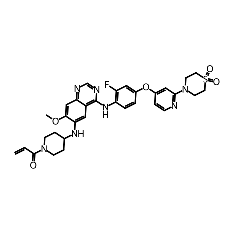 C=CC(=O)N1CCC(Nc2cc3c(Nc4ccc(Oc5ccnc(N6CCS(=O)(=O)CC6)c5)cc4F)ncnc3cc2OC)CC1